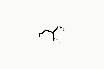 CC(P)CF